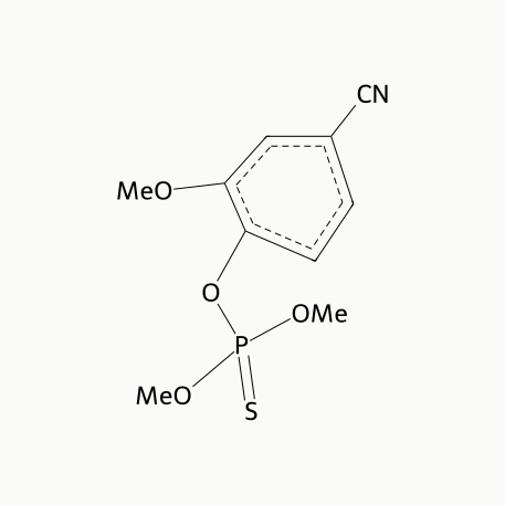 COc1cc(C#N)ccc1OP(=S)(OC)OC